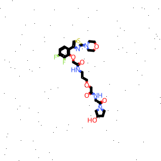 O=C(COCCCNC(=O)COc1c(-c2csc(N3CCOCC3)n2)ccc(F)c1F)NCC(=O)N1CC[C@@H](O)C1